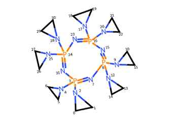 C1CN1P1(N2CC2)=NP(N2CC2)(N2CC2)=NP(N2CC2)(N2CC2)=NP(N2CC2)(N2CC2)=N1